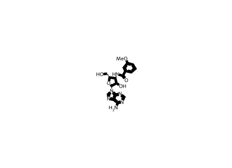 COc1cccc(C(=O)N[C@@H]2C(O)[C@H](n3cnc4c(N)ncnc43)O[C@@H]2CO)c1